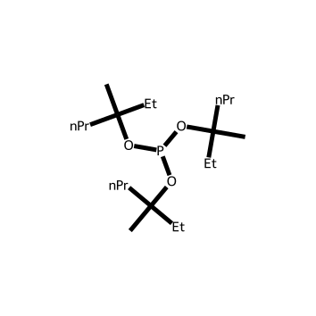 CCCC(C)(CC)OP(OC(C)(CC)CCC)OC(C)(CC)CCC